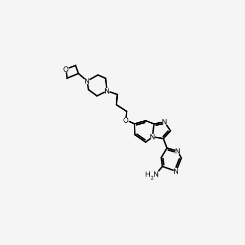 Nc1cc(-c2cnc3cc(OCCCN4CCN(C5COC5)CC4)ccn23)ncn1